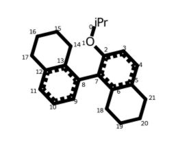 CC(C)Oc1ccc2c(c1-c1cccc3c1CCCC3)CCCC2